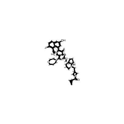 C#Cc1c(F)ccc2cc(O)cc(-c3ncc4c(N5CCCOCC5)nc(OC[C@]56CCC[C@H]5N(CC5CN(C(=O)C7CC7)C5)CCC6)nc4c3F)c12